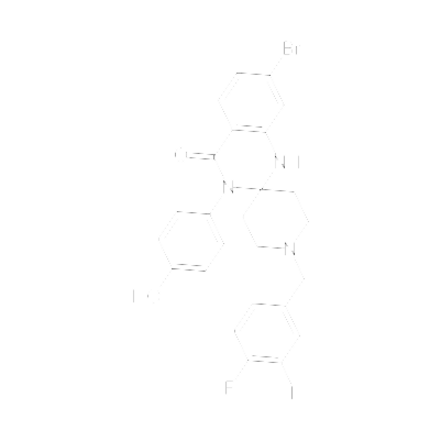 O=C1c2ccc(Br)cc2NC2(CCN(Cc3ccc(F)c(F)c3)CC2)N1c1ccc(O)cc1